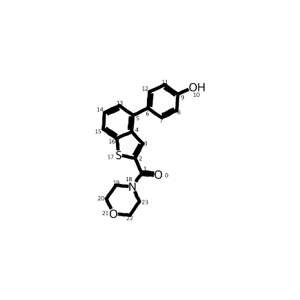 O=C(c1cc2c(-c3ccc(O)cc3)cccc2s1)N1CCOCC1